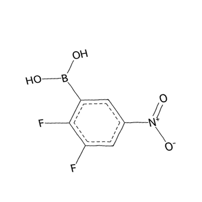 O=[N+]([O-])c1cc(F)c(F)c(B(O)O)c1